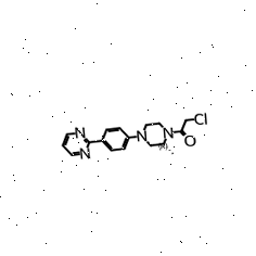 C[C@@H]1CN(c2ccc(-c3ncccn3)cc2)CCN1C(=O)CCl